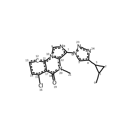 CC1CC1c1cn(-c2ncn3c4cccc(Cl)c4c(=O)n(C)c23)nn1